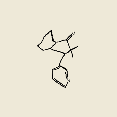 CC1(C)C(=O)N2CCCCC2C1c1cccnc1